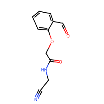 N#CCNC(=O)COc1ccccc1C=O